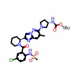 Cc1cc2nc([C@@H]3CCCCN3C(=O)c3cc(Cl)ccc3NS(C)(=O)=O)cn2nc1N1CC[C@H](NC(=O)OC(C)(C)C)C1